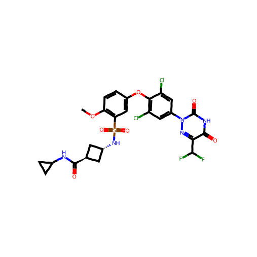 COc1ccc(Oc2c(Cl)cc(-n3nc(C(F)F)c(=O)[nH]c3=O)cc2Cl)cc1S(=O)(=O)N[C@H]1C[C@H](C(=O)NC2CC2)C1